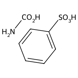 NC(=O)O.O=S(=O)(O)c1ccccc1